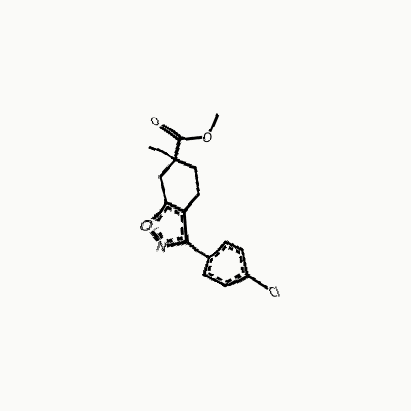 COC(=O)C1(C)CCc2c(-c3ccc(Cl)cc3)noc2C1